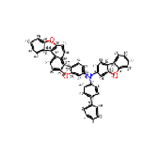 c1ccc(-c2ccc(N(c3ccc4c(c3)oc3ccccc34)c3ccc4c(c3)oc3ccc5c(ccc6oc7ccccc7c65)c34)cc2)cc1